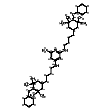 CC1(C)CC(CCCCNc2nc(N)nc(NCCCCC3CC(C)(C)N(OC4CCCCC4)C(C)(C)C3)n2)CC(C)(C)N1OC1CCCCC1